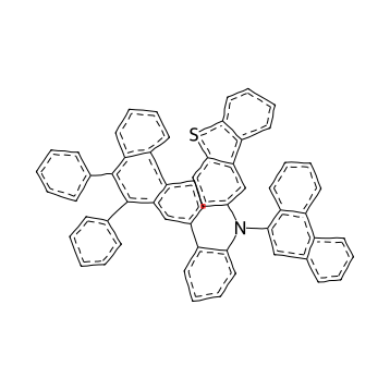 c1ccc(-c2c(-c3ccccc3)c3cc(-c4ccccc4N(c4ccc5sc6ccccc6c5c4)c4cc5ccccc5c5ccccc45)ccc3c3ccccc23)cc1